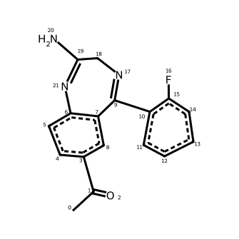 CC(=O)c1ccc2c(c1)C(c1ccccc1F)=NCC(N)=N2